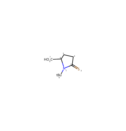 CC(C)(C)N1C(=S)CCC1C(=O)O